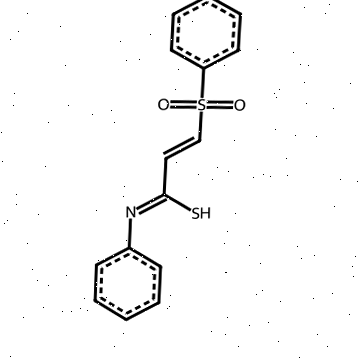 O=S(=O)(C=CC(S)=Nc1ccccc1)c1ccccc1